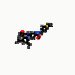 CCSc1ccc(CNC(=O)c2ccc(N(CC3CCCO3)c3cc(C4CC4)cc(C4CC4)c3)cc2)cc1